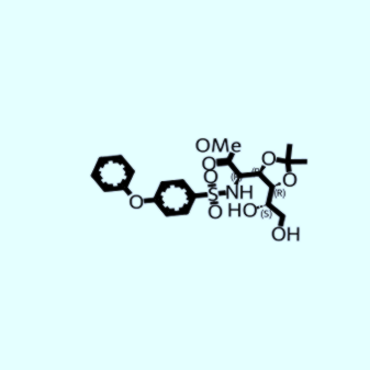 COC(=O)[C@H](NS(=O)(=O)c1ccc(Oc2ccccc2)cc1)[C@H]1OC(C)(C)O[C@@H]1[C@@H](O)CO